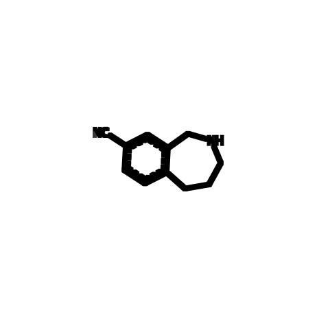 N#Cc1ccc2c(c1)CNCCC2